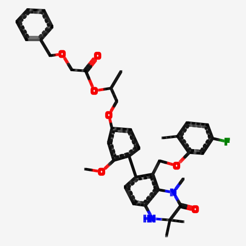 COc1cc(OCC(C)OC(=O)COCc2ccccc2)ccc1-c1ccc2c(c1COc1cc(F)ccc1C)N(C)C(=O)C(C)(C)N2